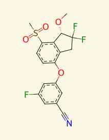 CO[C@H]1c2c(S(C)(=O)=O)ccc(Oc3cc(F)cc(C#N)c3)c2CC1(F)F